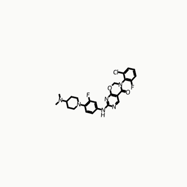 CN(C)C1CCN(c2ccc(Nc3ncc4c(n3)OCN(c3c(F)cccc3Cl)C4=O)cc2F)CC1